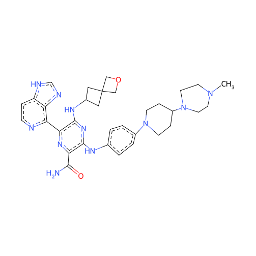 CN1CCN(C2CCN(c3ccc(Nc4nc(NC5CC6(COC6)C5)c(-c5nccc6[nH]cnc56)nc4C(N)=O)cc3)CC2)CC1